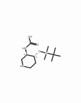 CC(C)(C)[Si](C)(C)O[C@@H]1CCNC[C@H]1NC(=O)O